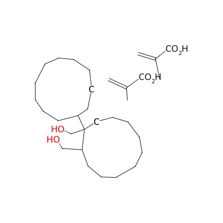 C=C(C)C(=O)O.C=C(C)C(=O)O.OCC1CCCCCCCCCC1(CO)C1CCCCCCCCCC1